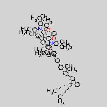 CCCCCCCCC1(CCCCCCCC)c2ccccc2-c2ccc(-c3ccc4c(c3)C(C)(C)c3cc(-c5ccc(-c6ccc7c(c6)C(C)(C)c6cc(-c8ccc9c(c8)C8(c%10ccccc%10-9)c9cc(N(c%10ccc(C(C)(C)C)cc%10)c%10ccc(C(C)(C)C)cc%10)c%10c(oc%11ccccc%11%10)c9-c9c8cc(N(c8ccc(C(C)(C)C)cc8)c8ccc(C(C)(C)C)cc8)c8oc%10ccccc%10c98)ccc6-7)cc5)ccc3-4)cc21